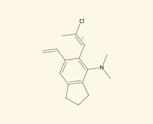 C=Cc1cc2c(c(N(C)C)c1/C=C(\C)Cl)CCC2